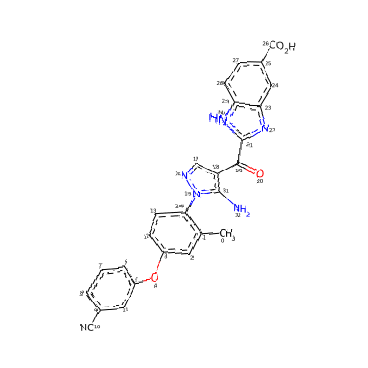 Cc1cc(Oc2cccc(C#N)c2)ccc1-n1ncc(C(=O)c2nc3cc(C(=O)O)ccc3[nH]2)c1N